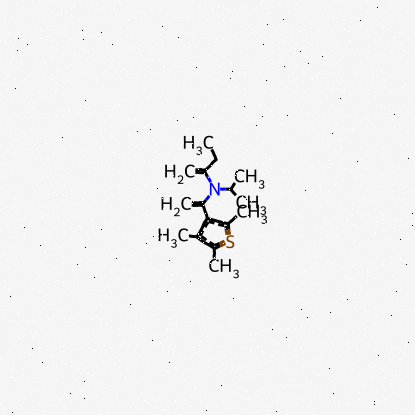 C=C(CC)N(C(=C)c1c(C)sc(C)c1C)C(C)C